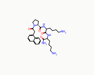 NCCCCC(NC(=O)C(CCCCN)NC(=O)[C@@H]1CCCN1C(=O)Cc1cccc2ccccc12)C(N)=O